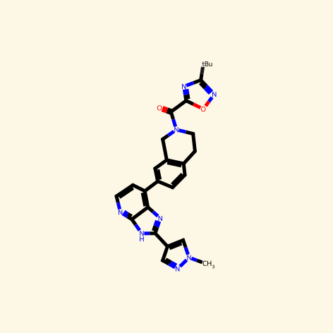 Cn1cc(-c2nc3c(-c4ccc5c(c4)CN(C(=O)c4nc(C(C)(C)C)no4)CC5)ccnc3[nH]2)cn1